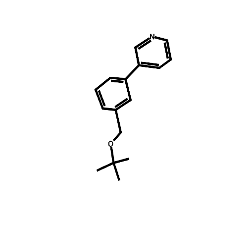 CC(C)(C)OCc1cccc(-c2cccnc2)c1